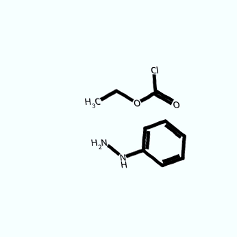 CCOC(=O)Cl.NNc1ccccc1